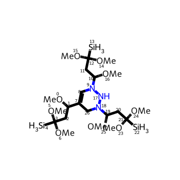 COC(CC([SiH3])(OC)OC)C1=CN(C(CC([SiH3])(OC)OC)OC)NN(C(CC([SiH3])(OC)OC)OC)C1